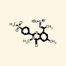 CC(=N[S@+]([O-])C(C)(C)C)c1cc(C)cc2c(=O)n(C)c(-c3ccc(S(C)(=O)=O)cc3)nc12